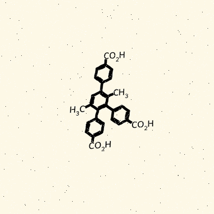 Cc1cc(-c2ccc(C(=O)O)cc2)c(C)c(-c2ccc(C(=O)O)cc2)c1-c1ccc(C(=O)O)cc1